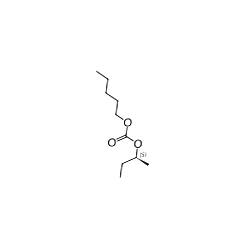 CCCCCOC(=O)O[C@@H](C)CC